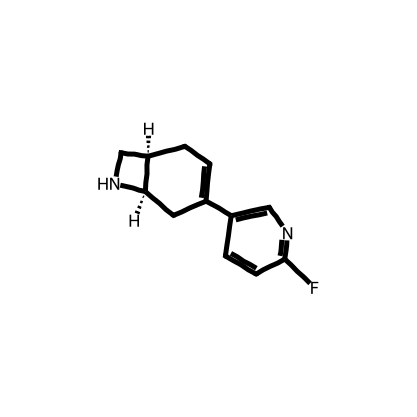 Fc1ccc(C2=CC[C@@H]3CN[C@@H]3C2)cn1